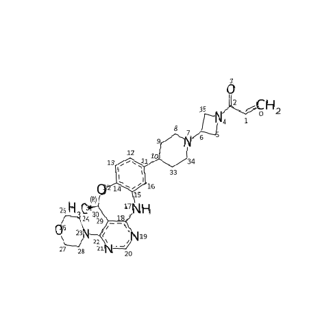 C=CC(=O)N1CC(N2CCC(c3ccc4c(c3)Nc3ncnc(N5CCOCC5)c3[C@@H](C)O4)CC2)C1